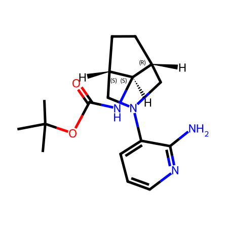 CC(C)(C)OC(=O)N[C@@H]1[C@@H]2CC[C@H]1CN(c1cccnc1N)C2